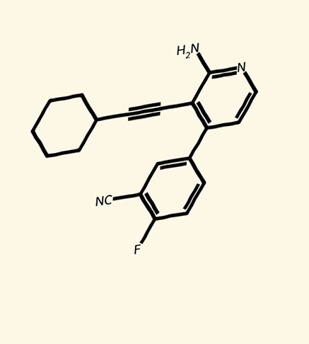 N#Cc1cc(-c2ccnc(N)c2C#CC2CCCCC2)ccc1F